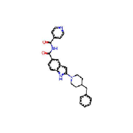 O=C(NC(=O)c1ccc2[nH]c(N3CCC(Cc4ccccc4)CC3)cc2c1)c1ccncc1